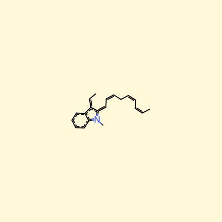 C/C=C\C=C/C\C=C/C=c1\c(=C/C)c2ccccc2n1C